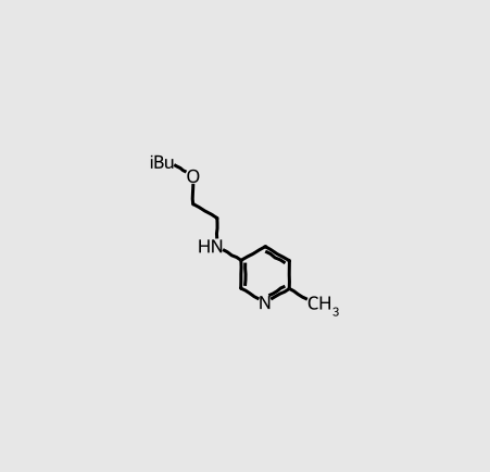 CCC(C)OCCNc1ccc(C)nc1